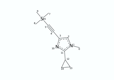 Cn1cc(C#C[Si](C)(C)C)nc1C1CC1